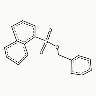 O=S(=O)(OCc1ccccc1)c1cccc2ccccc12